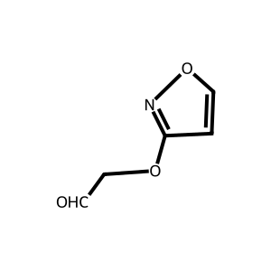 O=CCOc1ccon1